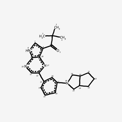 CC(C)(C)C(=O)c1c[nH]c2ncc(-c3cccc(N4CC5CCCC5C4)c3)nc12